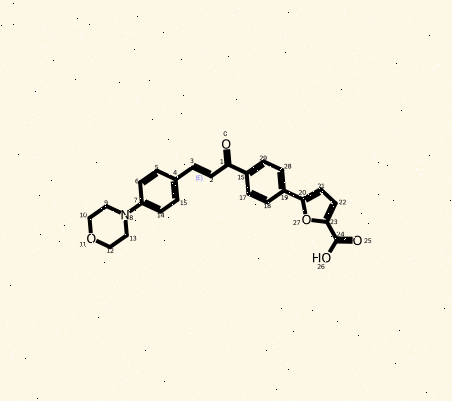 O=C(/C=C/c1ccc(N2CCOCC2)cc1)c1ccc(-c2ccc(C(=O)O)o2)cc1